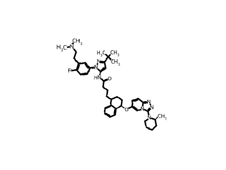 C[C@H]1CCCCN1c1nnc2ccc(O[C@@H]3CCC(CCCC(=O)Nc4cc(C(C)(C)C)nn4-c4ccc(F)c(CCN(C)C)c4)c4ccccc43)cn12